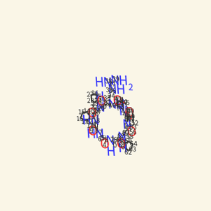 C[C@@H]1NC(=O)[C@H](C)NC(=O)[C@H](Cc2ccccc2)NC(=O)[C@H](Cc2ccccc2)NC(=O)[C@H](CCCNC(=N)N)NC(=O)[C@@H]2CCCN2C(=O)[C@H]2CCCN2C(=O)[C@H](Cc2ccccc2)NC1=O